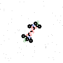 O=C(COCC1OC(c2ccccc2Cl)c2cc(Cl)ccc2N(Cc2ccccc2)C1=O)OCC1OC(c2ccccc2Cl)c2cc(Cl)ccc2N(Cc2ccccc2)C1=O